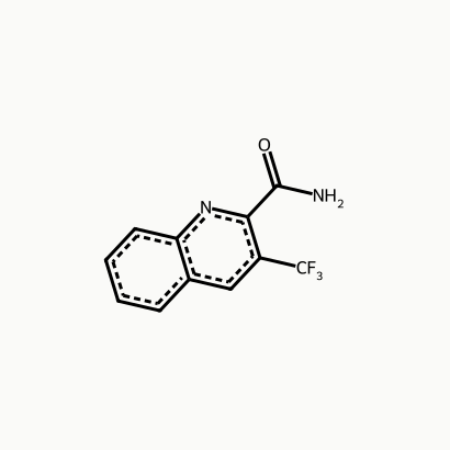 NC(=O)c1nc2ccccc2cc1C(F)(F)F